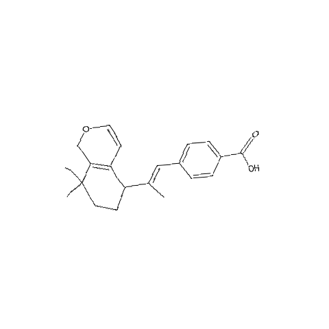 CC(=Cc1ccc(C(=O)O)cc1)C1CCC(C)(C)C2=C1C=COC2